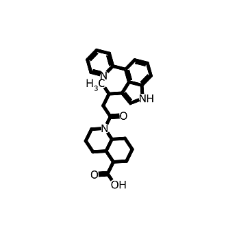 CC(CC(=O)N1CCCC2C(C(=O)O)CCCC21)c1c[nH]c2cccc(-c3ccccn3)c12